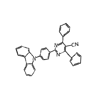 N#Cc1c(-c2ccccc2)nc(-c2ccc(-n3c4ccccc4c4ccccc43)cc2)nc1-c1ccccc1